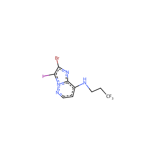 FC(F)(F)CCNc1ccnn2c(I)c(Br)nc12